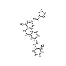 O=c1nc(OCC2CCCO2)cc2n1CCc1cc(OCc3ccccc3Cl)ccc1-2